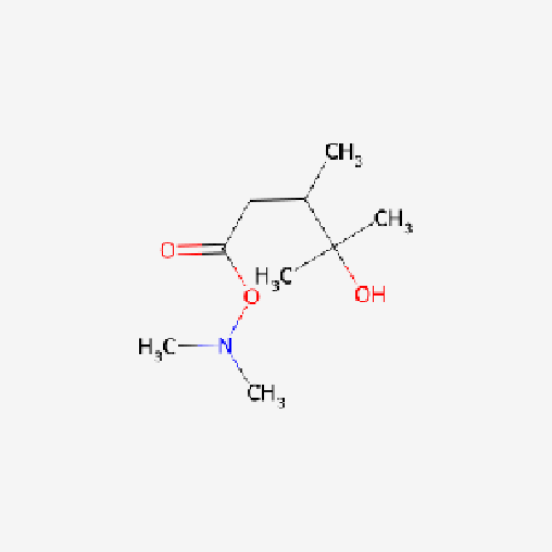 CC(CC(=O)ON(C)C)C(C)(C)O